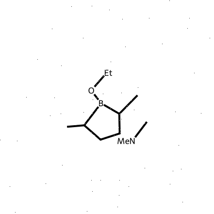 CCOB1C(C)CCC1C.CNC